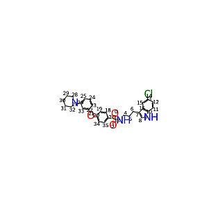 O=S(=O)(NCCCc1c[nH]c2ccc(Cl)cc12)c1ccc(Oc2cccc(N3CCCCC3)c2)cc1